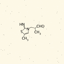 Cc1cn(CC(C)C=O)c(=N)s1